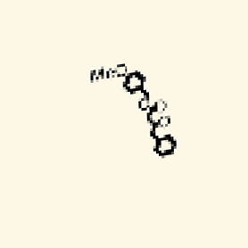 COc1ccc(COC(=O)CC(=O)Cc2ccccc2)cc1